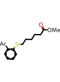 COC(=O)CCCCCSc1ccccc1C(C)=O